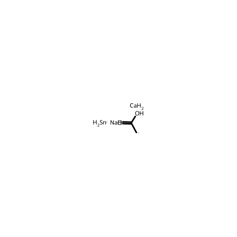 [CH2]C(=O)O.[CaH2].[NaH].[SnH2]